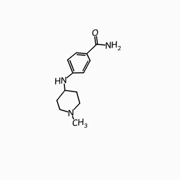 CN1CCC(Nc2ccc(C(N)=O)cc2)CC1